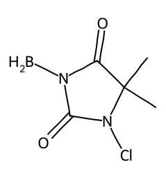 BN1C(=O)N(Cl)C(C)(C)C1=O